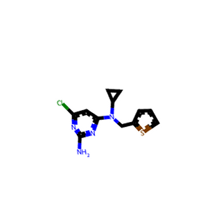 Nc1nc(Cl)cc(N(Cc2cccs2)C2CC2)n1